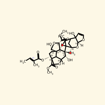 C/C=C(\C)C(=O)O[C@@H]1C[C@H](O)[C@]23CO[C@H](C(=O)OC)[C@H]2[C@](C)(C24OC2(C)C2C[C@H]4O[C@@H]4OC=CC24O)[C@H](O)[C@@H]2OC[C@@]1(C(=O)OC)C23